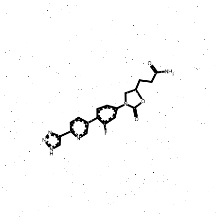 NC(=O)CCC1CN(c2ccc(-c3ccc(-c4c[nH]nn4)nc3)c(F)c2)C(=O)O1